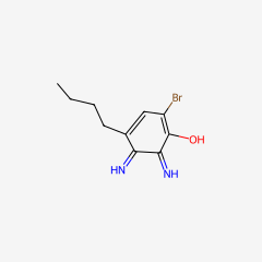 CCCCC1=CC(Br)=C(O)C(=N)C1=N